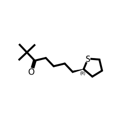 CC(C)(C)C(=O)CCCC[C@@H]1CCCS1